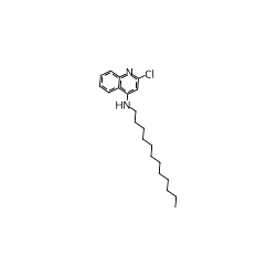 CCCCCCCCCCCCNc1cc(Cl)nc2ccccc12